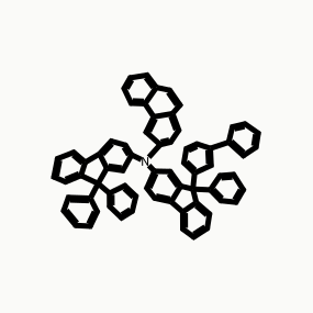 c1ccc(-c2cccc(C3(c4ccccc4)c4ccccc4-c4ccc(N(c5ccc6c(c5)C(c5ccccc5)(c5ccccc5)c5ccccc5-6)c5ccc6ccc7ccccc7c6c5)cc43)c2)cc1